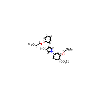 CCOC(=O)c1ccc(-n2cc(C#N)c(-c3ccccc3OCCOC)c2)cc1OCOC